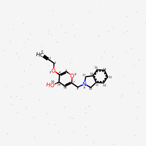 C#CCOC1=COC(CN2Cc3ccccc3C2)=CC1O